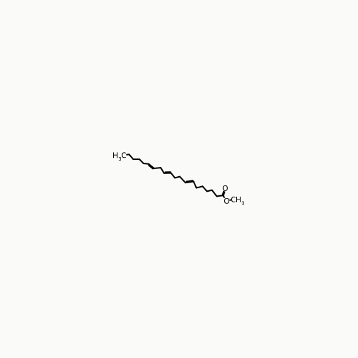 CCCCCC=CCC=CCCC=CCCCCCC(=O)OC